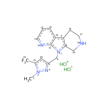 Cl.Cl.Cn1nc(Cn2c3c(c4cccnc42)CCNC3)cc1C(F)(F)F